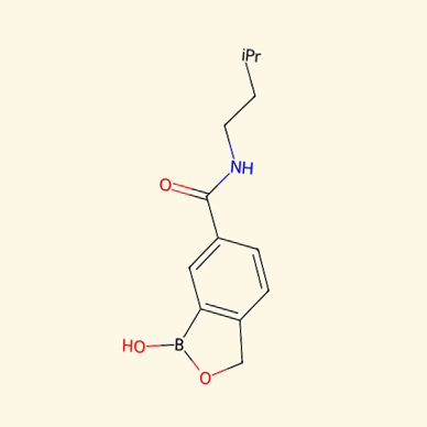 CC(C)CCNC(=O)c1ccc2c(c1)B(O)OC2